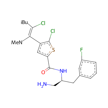 CCC(C)/C(Cl)=C(\NC)c1cc(C(=O)N[C@H](CN)Cc2cccc(F)c2)sc1Cl